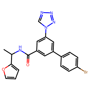 CC(NC(=O)c1cc(-c2ccc(Br)cc2)cc(-n2cnnn2)c1)c1ccco1